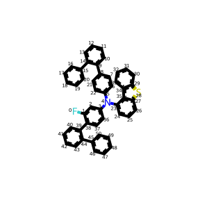 Fc1cc(N(c2ccc(-c3ccccc3-c3ccccc3)cc2)c2cccc3sc4ccccc4c23)ccc1-c1ccccc1-c1ccccc1